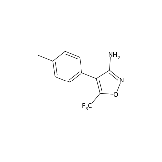 Cc1ccc(-c2c(N)noc2C(F)(F)F)cc1